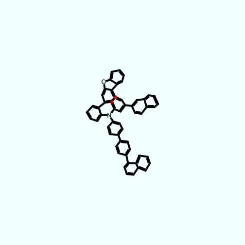 c1cc(-c2ccc3ccccc3c2)cc(N(c2ccc(-c3ccc(-c4cccc5ccccc45)cc3)cc2)c2ccccc2-c2ccc3c(c2)oc2ccccc23)c1